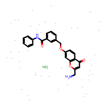 Cl.NCc1cc(=O)c2ccc(OCc3cccc(C(=O)Nc4ccccc4)c3)cc2o1